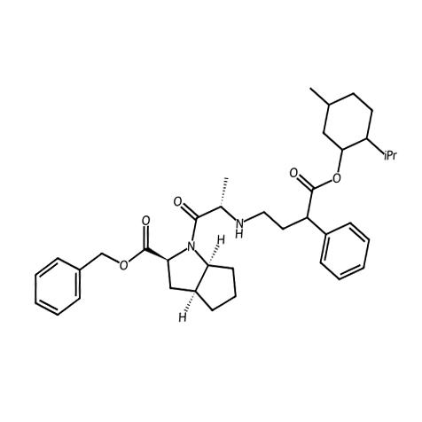 CC1CCC(C(C)C)C(OC(=O)C(CCN[C@@H](C)C(=O)N2[C@H](C(=O)OCc3ccccc3)C[C@@H]3CCC[C@@H]32)c2ccccc2)C1